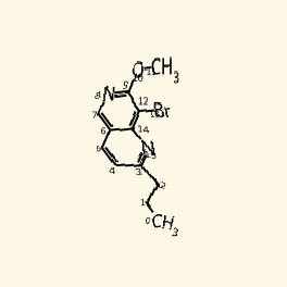 CCCc1ccc2cnc(OC)c(Br)c2n1